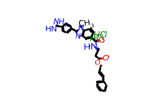 Cl.Cl.Cn1c(-c2ccc(C(=N)N)cc2)nc2cc(C(=O)NCCC(=O)OCC=Cc3ccccc3)ccc21